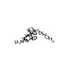 CCCCOC[C@H]1OC[C@@H](N2CCC(N)=NC2=O)O1